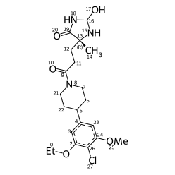 CCOc1cc(C2CCN(C(=O)CC[C@@]3(C)NC(O)NC3=O)CC2)cc(OC)c1Cl